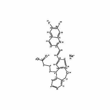 O=C([O-])CCCC1c2ccccc2COc2ccc(C=Cc3ccc4cc(F)c(F)cc4n3)cc21.[Na+]